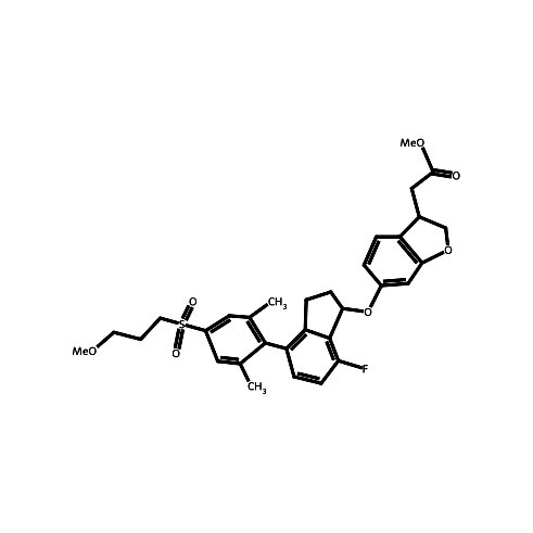 COCCCS(=O)(=O)c1cc(C)c(-c2ccc(F)c3c2CCC3Oc2ccc3c(c2)OCC3CC(=O)OC)c(C)c1